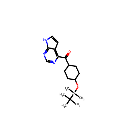 CC(C)(C)[Si](C)(C)OC1CCC(C(=O)c2ncnc3[nH]ccc23)CC1